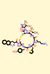 CC(C)[C@@H]1NC(=O)[C@H](CCCCN)NC(=O)[C@@H](Cc2cccs2)NC(=O)[C@H](Cc2ccc(O)cc2)NC(=O)[C@@H](NC(=O)[C@H](N)Cc2ccc3ccccc3c2)CSSC[C@@H](C(=O)N[C@H](C(N)=O)C(C)O)NC1=O